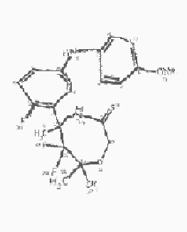 COc1ccc(Nc2ccc(F)c(C3(C)NC(=S)COC(C)(C)C3(F)F)c2)cn1